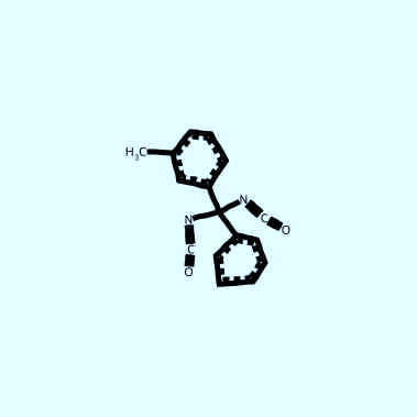 Cc1cccc(C(N=C=O)(N=C=O)c2ccccc2)c1